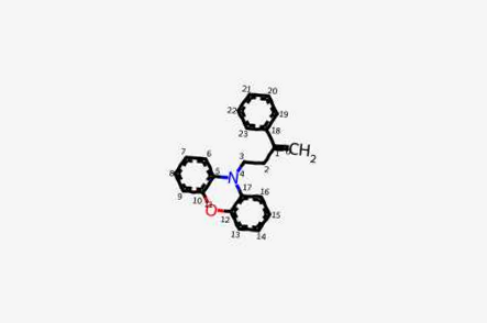 C=C(CCN1c2ccccc2Oc2ccccc21)c1ccccc1